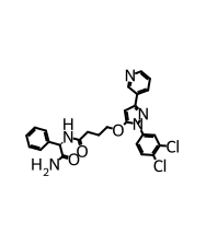 NC(=O)[C@@H](NC(=O)CCCOc1cc(-c2cccnc2)nn1-c1ccc(Cl)c(Cl)c1)c1ccccc1